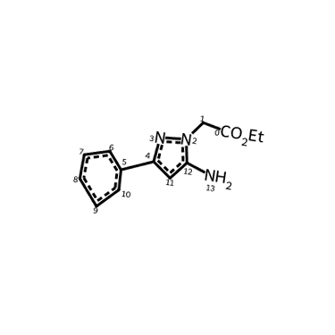 CCOC(=O)Cn1nc(-c2ccccc2)cc1N